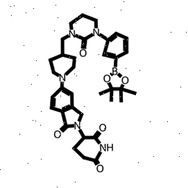 CC1(C)OB(c2cccc(N3CCCN(CC4CCN(c5ccc6c(c5)CN(C5CCC(=O)NC5=O)C6=O)CC4)C3=O)c2)OC1(C)C